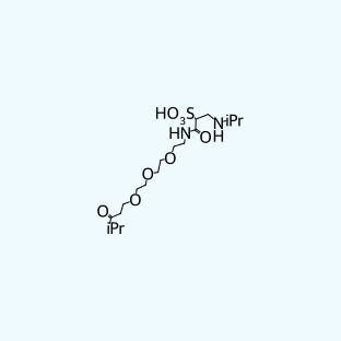 CC(C)NCC(C(=O)NCCOCCOCCOCCC(=O)C(C)C)S(=O)(=O)O